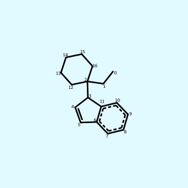 CCC1(C2C=Cc3ccccc32)CCCCC1